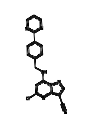 N#Cc1cnn2c(NCc3ccc(-c4ncccn4)cc3)cc(Cl)nc12